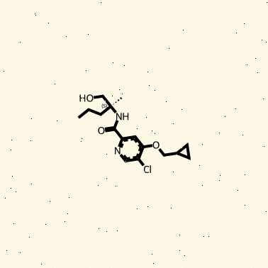 CCC[C@@](C)(CO)NC(=O)c1cc(OCC2CC2)c(Cl)cn1